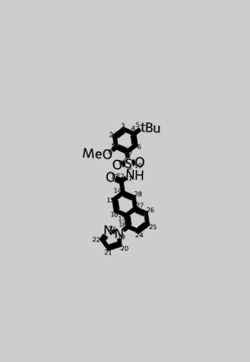 COc1ccc(C(C)(C)C)cc1S(=O)(=O)NC(=O)c1ccc2c(-n3cccn3)cccc2c1